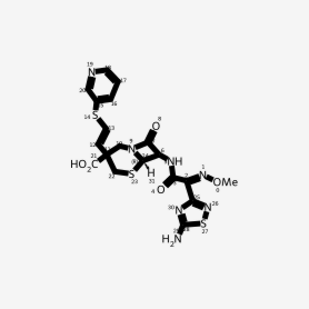 CON=C(C(=O)NC1C(=O)N2CC(C=CSc3cccnc3)(C(=O)O)CS[C@H]12)c1nsc(N)n1